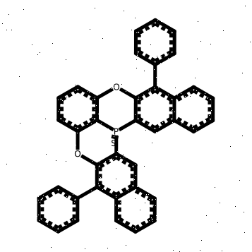 S=P12c3cc4ccccc4c(-c4ccccc4)c3Oc3cccc(c31)Oc1c2cc2ccccc2c1-c1ccccc1